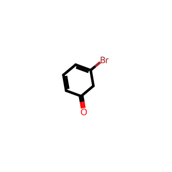 O=C1C=CC=C(Br)C1